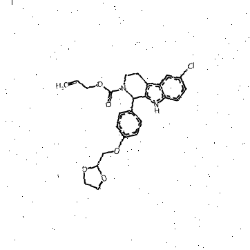 C=CCOC(=O)N1CCc2c([nH]c3ccc(Cl)cc23)C1c1ccc(OCC2OCCO2)cc1